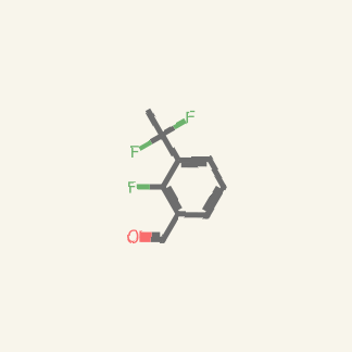 CC(F)(F)c1cccc(C=O)c1F